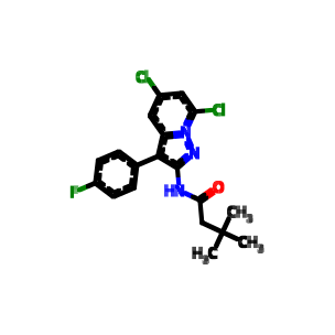 CC(C)(C)CC(=O)Nc1nn2c(Cl)cc(Cl)cc2c1-c1ccc(F)cc1